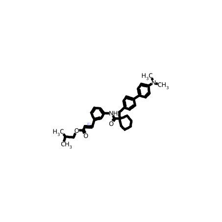 CC(C)COC(=O)/C=C/c1cccc(NC(=O)C2(Cc3ccc(-c4ccc(N(C)C)cc4)cc3)CCCCC2)c1